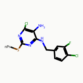 CCCSc1nc(Cl)c(N)c(NCc2ccc(Cl)c(F)c2)n1